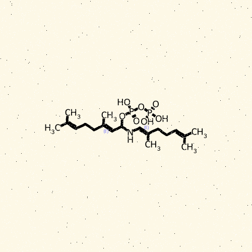 CC(C)=CCC/C(C)=C/NC(/C=C(\C)CCC=C(C)C)OP(=O)(O)OP(=O)(O)O